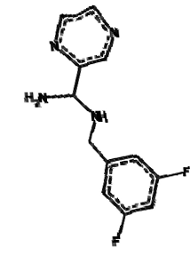 NC(NCc1cc(F)cc(F)c1)c1cnccn1